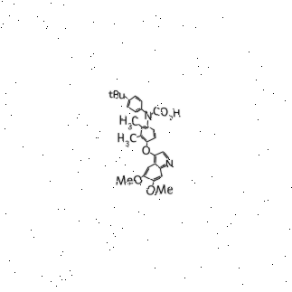 COc1cc2nccc(Oc3ccc(N(C(=O)O)c4ccc(C(C)(C)C)cc4)c(C)c3C)c2cc1OC